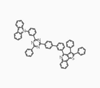 c1ccc(-c2nc(-c3ccc(-c4cccc(-c5nc6ccccc6c6sc(-c7ccccc7)c(-c7ccccc7)c56)c4)cc3)nc(-c3cccc(-n4c5ccccc5c5ccccc54)c3)n2)cc1